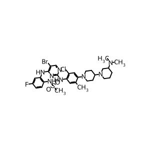 Cc1cc(Nc2ncc(Br)c(Nc3cc(F)ccc3NS(C)(=O)=O)n2)c(Cl)cc1N1CCC(N2CCCC(N(C)C)C2)CC1